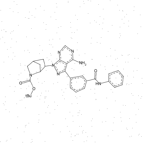 CC(C)(C)OC(=O)N1CC2CC1C(n1nc(-c3cccc(C(=O)Nc4ccccc4)c3)c3c(N)ncnc31)C2